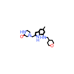 Cc1cc(NCC2CCOCC2)c2[nH]c(CN3CCNC(=O)C3)cc2c1